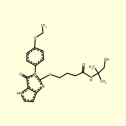 CC(C)(CO)NC(=O)CCCSc1nc2cc[nH]c2c(=O)n1-c1ccc(OCC(F)(F)F)cc1